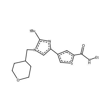 CCNC(=O)c1cc(-c2cn(CC3CCOCC3)c(C(C)(C)C)n2)cs1